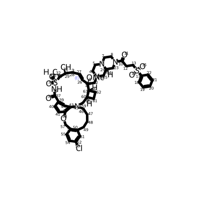 CO[C@@]1(CN2CCN3CCN(C(=O)CCS(=O)(=O)c4ccccc4)C[C@@H]3C2)/C=C/C[C@H](C)[C@@H](C)S(=O)(=O)NC(=O)c2ccc3c(c2)N(CCCCc2cc(Cl)ccc2CO3)C[C@@H]2CC[C@H]21